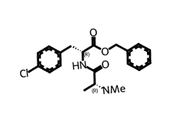 CN[C@H](C)C(=O)N[C@H](Cc1ccc(Cl)cc1)C(=O)OCc1ccccc1